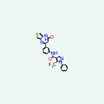 O=C1CC(c2cccc(NC(=O)c3cnn(-c4ccccc4)c3C(F)(F)F)c2)=Nc2cscc2N1